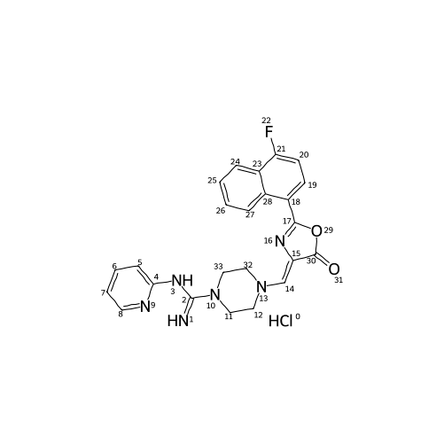 Cl.N=C(Nc1ccccn1)N1CCN(C=C2N=C(c3ccc(F)c4ccccc34)OC2=O)CC1